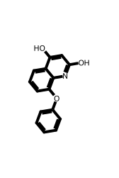 Oc1cc(O)c2cccc(Oc3ccccc3)c2n1